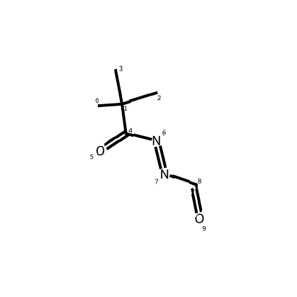 CC(C)(C)C(=O)/N=N/C=O